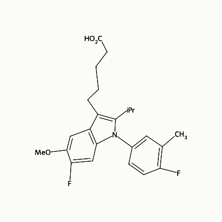 COc1cc2c(CCCCC(=O)O)c(C(C)C)n(-c3ccc(F)c(C)c3)c2cc1F